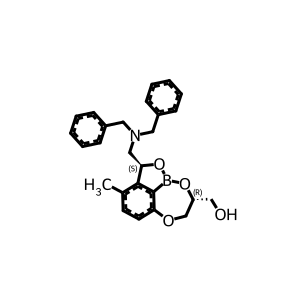 Cc1ccc2c3c1[C@@H](CN(Cc1ccccc1)Cc1ccccc1)OB3O[C@H](CO)CO2